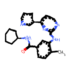 Cc1ccc(C(=O)NC2CCCCC2)cc1Nc1nccc(-c2cccnc2)n1